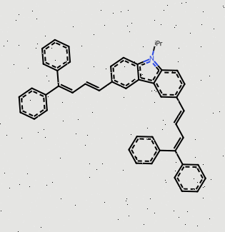 CC(C)n1c2ccc(C=CC=C(c3ccccc3)c3ccccc3)cc2c2cc(C=CC=C(c3ccccc3)c3ccccc3)ccc21